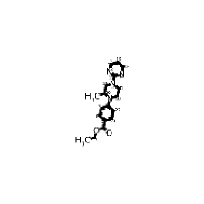 CCOC(=O)c1ccc(N2CCN(c3ncccn3)CC2C)cc1